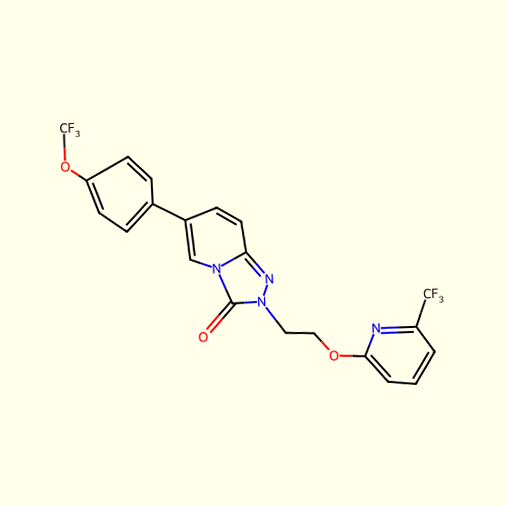 O=c1n(CCOc2cccc(C(F)(F)F)n2)nc2ccc(-c3ccc(OC(F)(F)F)cc3)cn12